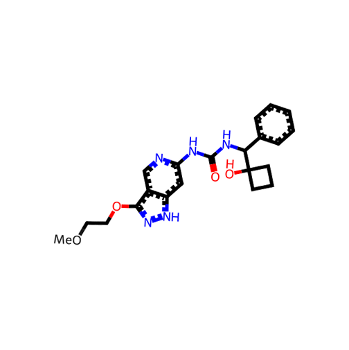 COCCOc1n[nH]c2cc(NC(=O)NC(c3ccccc3)C3(O)CCC3)ncc12